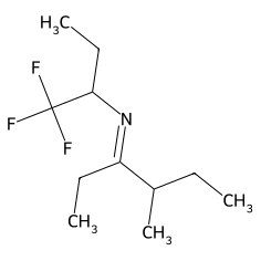 CC/C(=N\C(CC)C(F)(F)F)C(C)CC